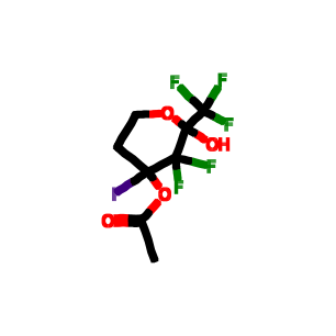 CC(=O)OC1(I)CCOC(O)(C(F)(F)F)C1(F)F